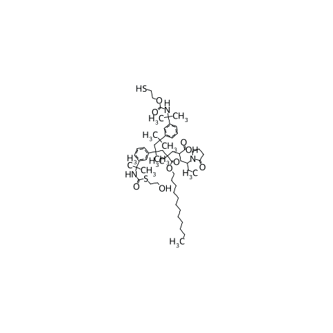 CCCCCCCCCCCCOC(=O)C(C)(CC(CC(CC)N1CCCC1=O)C(=O)O)CC(C)(CC(C)(C)c1cccc(C(C)(C)NC(=O)OCCS)c1)c1cccc(C(C)(C)NC(=O)SCCO)c1